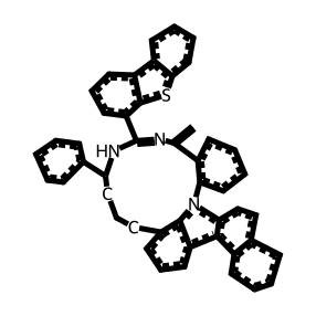 C=C1/N=C(/c2cccc3c2sc2ccccc23)NC(c2ccccc2)CCCc2cccc3c4c5ccccc5ccc4n(c23)-c2ccccc21